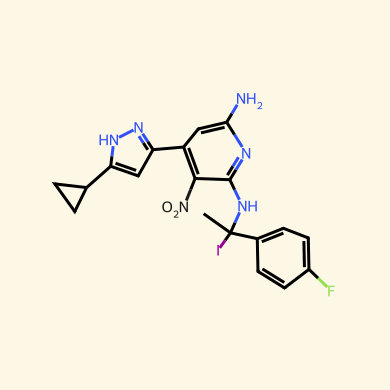 CC(I)(Nc1nc(N)cc(-c2cc(C3CC3)[nH]n2)c1[N+](=O)[O-])c1ccc(F)cc1